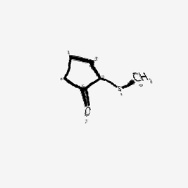 CSC1CCCC1=O